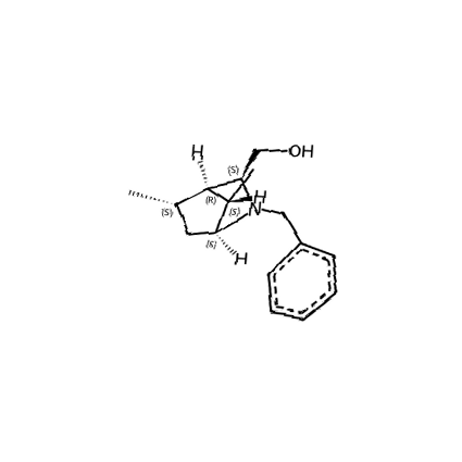 C[C@H]1[C@@H]2[C@@H](CO)N(Cc3ccccc3)[C@H]1C[C@@H]2C